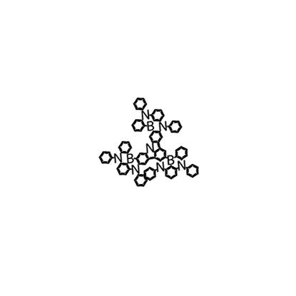 c1ccc(N2c3ccccc3B3c4cc5c(cc4N(c4ccccc4)c4cccc2c43)c2cc3c(c4c6cc7c(cc6n5c24)B2c4ccccc4N(c4ccccc4)c4cccc(c42)N7c2ccccc2)N(c2ccccc2)c2cccc4c2B3c2ccccc2N4c2ccccc2)cc1